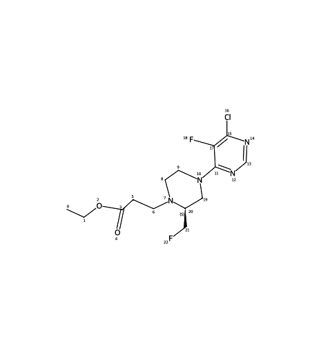 CCOC(=O)CCN1CCN(c2ncnc(Cl)c2F)C[C@H]1CF